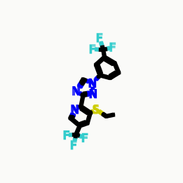 CCSc1cc(C(F)(F)F)cnc1-c1ncn(-c2cccc(C(F)(F)F)c2)n1